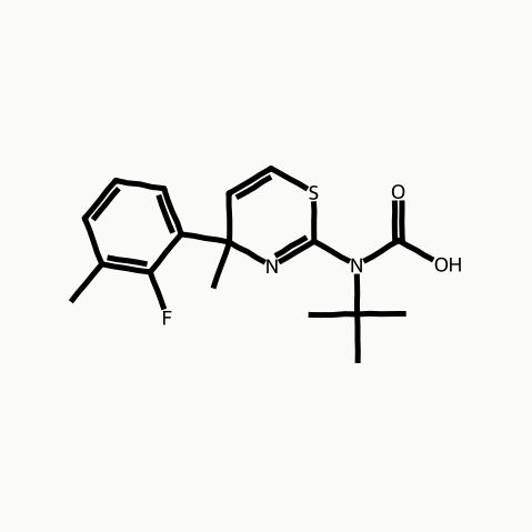 Cc1cccc(C2(C)C=CSC(N(C(=O)O)C(C)(C)C)=N2)c1F